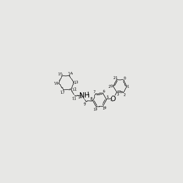 c1ccc(Oc2ccc(CNCC3CCCCC3)cc2)cc1